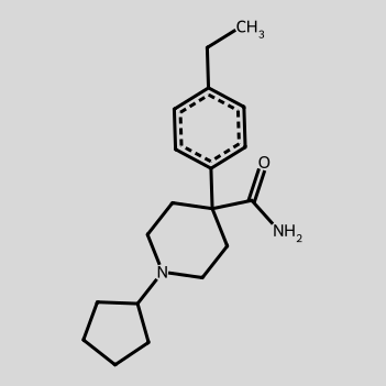 CCc1ccc(C2(C(N)=O)CCN(C3CCCC3)CC2)cc1